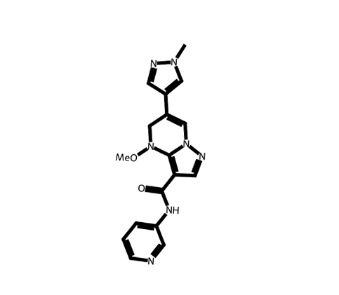 CON1CC(c2cnn(C)c2)=Cn2ncc(C(=O)Nc3cccnc3)c21